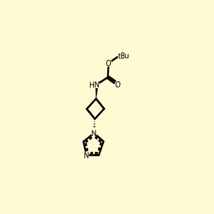 CC(C)(C)OC(=O)N[C@H]1C[C@H](n2ccnc2)C1